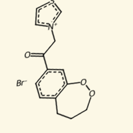 O=C(C[n+]1ccsc1)c1ccc2c(c1)OOCCC2.[Br-]